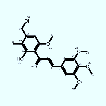 COc1cc(C=CC(=O)c2c(OC)cc(CO)c(C)c2O)cc(OC)c1OC